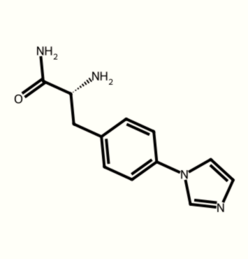 NC(=O)[C@H](N)Cc1ccc(-n2ccnc2)cc1